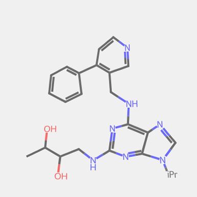 CC(O)C(O)CNc1nc(NCc2cnccc2-c2ccccc2)c2ncn(C(C)C)c2n1